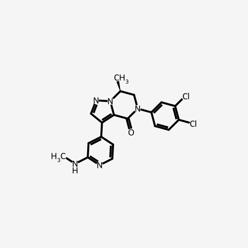 CNc1cc(-c2cnn3c2C(=O)N(c2ccc(Cl)c(Cl)c2)C[C@@H]3C)ccn1